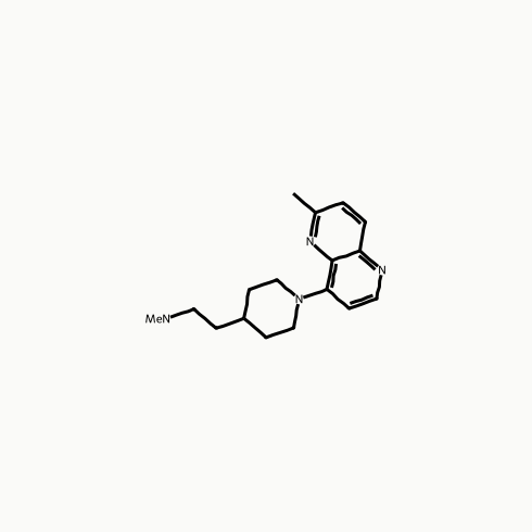 CNCCC1CCN(c2ccnc3ccc(C)nc23)CC1